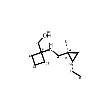 CC[C@H]1C[C@]1(C)CNC1(CO)CCC1